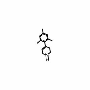 Cc1cc(C)c(C2=CCNCC2)c(C)c1